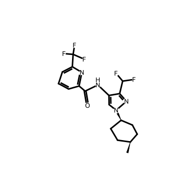 C[C@H]1CC[C@@H](n2cc(NC(=O)c3cccc(C(F)(F)F)n3)c(C(F)F)n2)CC1